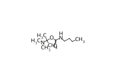 CCCCNC(=O)OC(C)(C)N(C)C